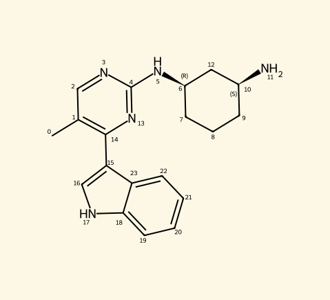 Cc1cnc(N[C@@H]2CCC[C@H](N)C2)nc1-c1c[nH]c2ccccc12